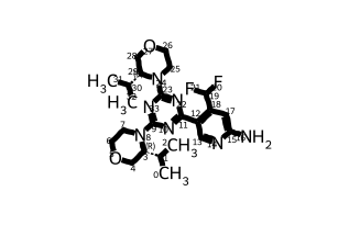 CC(C)[C@@H]1COCCN1c1nc(-c2cnc(N)cc2C(F)F)nc(N2CCOC[C@H]2C(C)C)n1